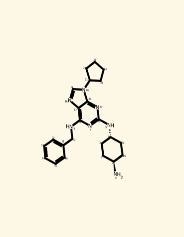 N[C@H]1CC[C@H](Nc2nc(NCc3ccccc3)c3ncn(C4CCCC4)c3n2)CC1